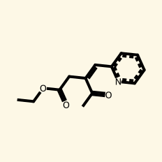 CCOC(=O)C/C(=C/c1ccccn1)C(C)=O